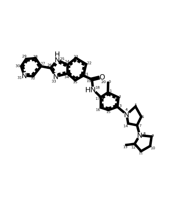 Cc1cc(N2CCC(N3CCCC3C)C2)ccc1NC(=O)c1ccc2[nH]c(-c3cccnc3)nc2c1